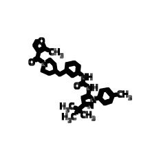 Cc1ccc(-n2nc(C(C)(C)C)cc2NC(=O)Nc2cccc(CC3CCN(C(=O)c4ccoc4C)CC3)c2)cc1